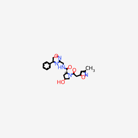 Cc1cc(CC(=O)N2CC(O)C[C@H]2C(=O)NCC2=NOCC(c3ccccc3)=N2)on1